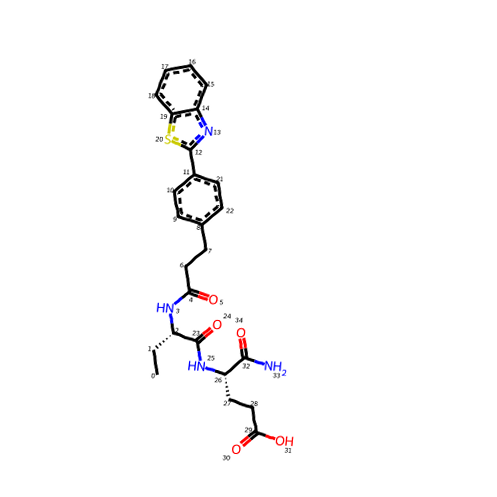 CC[C@H](NC(=O)CCc1ccc(-c2nc3ccccc3s2)cc1)C(=O)N[C@@H](CCC(=O)O)C(N)=O